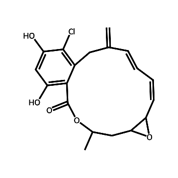 C=C1/C=C/C=C\C2OC2CC(C)OC(=O)c2c(O)cc(O)c(Cl)c2C1